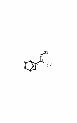 CCOC(C(=O)O)C1CC2C=CC1C2